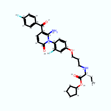 CC(C)C[C@@H](NCCCOc1ccc(-n2c(N)c(C(=O)c3ccc(F)cc3)ccc2=O)c(F)c1)C(=O)OC1CCCC1